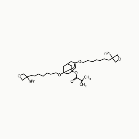 C=C(C)C(=O)OC12CC3CC(OCCCCCCCC4(CCC)COC4)(CC(OCCCCCCCC4(CCC)COC4)(C3)C1)C2